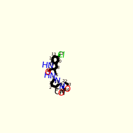 N#Cc1ccc(NCc2cc3cc(Cl)ccc3[nH]c2=O)nc1N1CCOC1=O